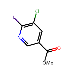 COC(=O)c1cnc(I)c(Cl)c1